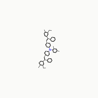 CCc1cc(/C(=C/c2ccc(N(c3ccc(/C=C(\c4ccccc4)c4ccc(C)c(CC)c4)cc3)c3ccc(C)cc3C)cc2)c2ccccc2)ccc1C